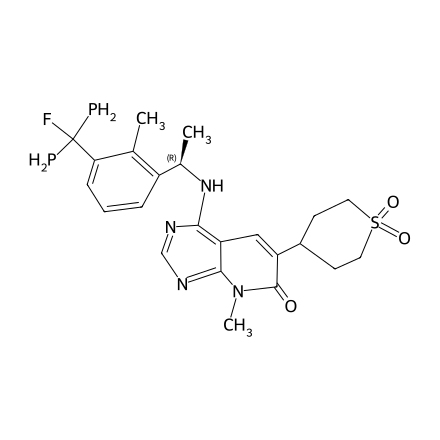 Cc1c([C@@H](C)Nc2ncnc3c2cc(C2CCS(=O)(=O)CC2)c(=O)n3C)cccc1C(F)(P)P